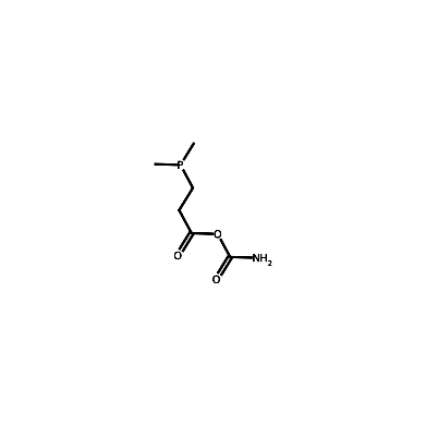 CP(C)CCC(=O)OC(N)=O